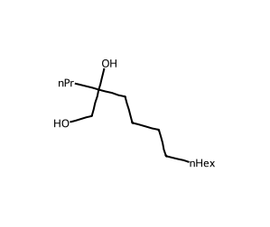 CCCCCCCCCCC(O)(CO)CCC